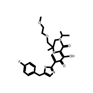 COCCOCC1(C)CN(C(C)C)C(=O)c2c(O)c(=O)c(-c3ncc(Cc4ccc(F)cc4)s3)cn21